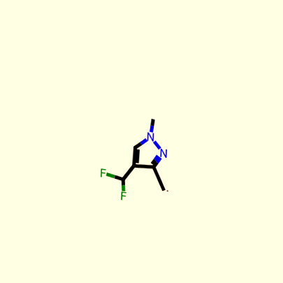 [CH2]c1nn(C)cc1C(F)F